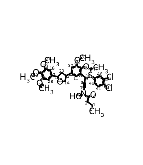 CCCC(=O)N(O)C#CCc1cc(C2COC(c3cc(OC)c(OC)c(OC)c3)C2)cc(OC)c1OC(C)Sc1ccc(Cl)c(Cl)c1